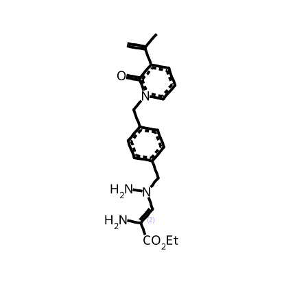 C=C(C)c1cccn(Cc2ccc(CN(N)/C=C(\N)C(=O)OCC)cc2)c1=O